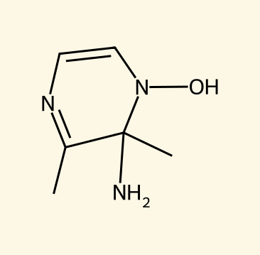 CC1=NC=CN(O)C1(C)N